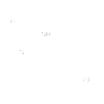 CCc1nc2ccc(C(F)(F)F)cc2[nH]1